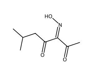 CC(=O)C(=NO)C(=O)CC(C)C